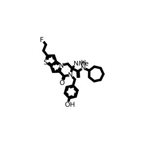 C=C(NC1CCCCCC1)C1(NC)Cn2c(cc3sc(CCF)cc32)C(=O)N1Cc1ccc(O)cc1